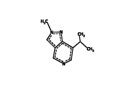 CC(C)c1cncc2cn(C)nc12